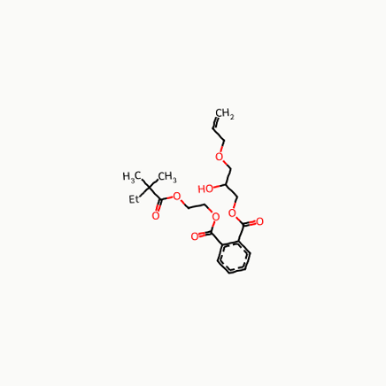 C=CCOCC(O)COC(=O)c1ccccc1C(=O)OCCOC(=O)C(C)(C)CC